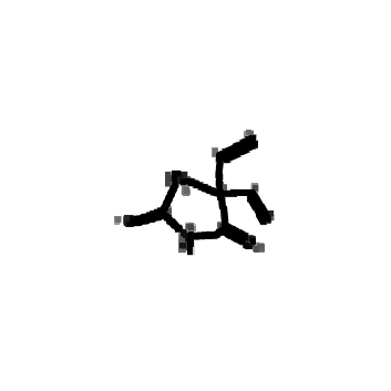 C=CC1(C=C)NC(=O)NC1=O